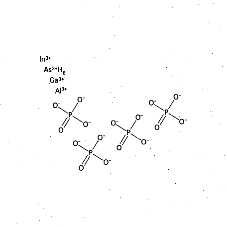 O=P([O-])([O-])[O-].O=P([O-])([O-])[O-].O=P([O-])([O-])[O-].O=P([O-])([O-])[O-].[Al+3].[AsH6+3].[Ga+3].[In+3]